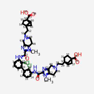 Cn1c(C(=O)Nc2cccc(-c3cccc(NC(=O)c4nc5c(n4C)CCN(CCC46CCC(C(=O)O)(CC4)C6)C5)c3Cl)c2Cl)nc2c1CCN(CCC13CCC(C(=O)O)(CC1)C3)C2